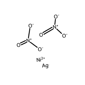 O=[N+]([O-])[O-].O=[N+]([O-])[O-].[Ag].[Ni+2]